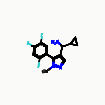 CC(C)(C)n1ncc(C(N)C2CC2)c1-c1cc(F)c(F)cc1F